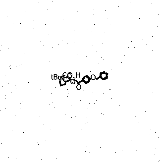 CC(C)(C)[N@+]1(C(=O)O)CCCC1C(=O)OCC(=O)c1ccc(OCc2ccccc2)cc1